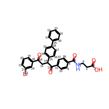 O=C(O)CCNC(=O)c1ccc(C(=O)C(CC(=O)c2cccc(Br)c2)c2ccc(-c3ccccc3)cc2)cc1